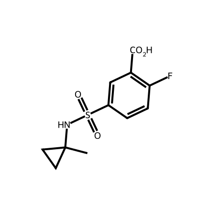 CC1(NS(=O)(=O)c2ccc(F)c(C(=O)O)c2)CC1